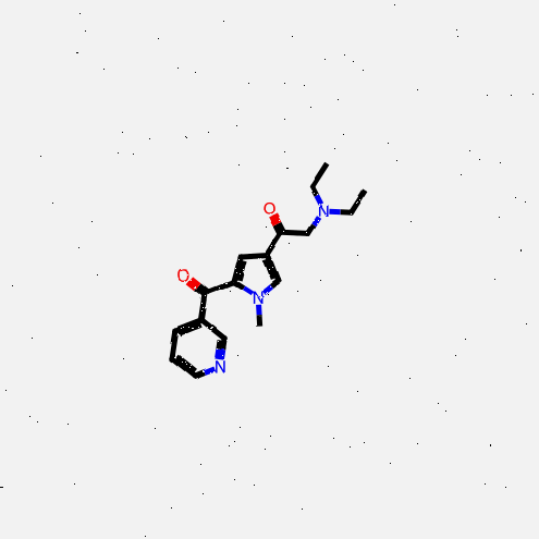 CCN(CC)CC(=O)c1cc(C(=O)c2cccnc2)n(C)c1